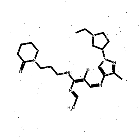 CCN1CCC(n2cc(\N=C/C(Br)=C(\N=C\N)NCCCN3CCCCC3=O)c(C)n2)C1